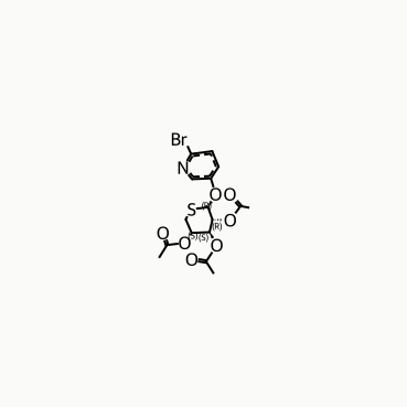 CC(=O)O[C@@H]1[C@@H](OC(C)=O)[C@H](OC(C)=O)CS[C@H]1Oc1ccc(Br)nc1